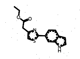 CCOC(=O)Cc1csc(-c2ccc3cc[nH]c3c2)n1